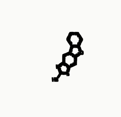 Sc1nc2cc3c(cc2s1)oc1ccccc13